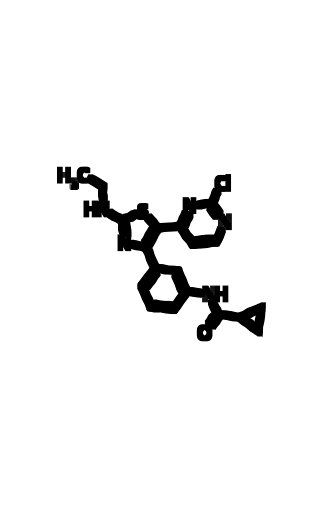 CCNc1nc(-c2cccc(NC(=O)C3CC3)c2)c(-c2ccnc(Cl)n2)s1